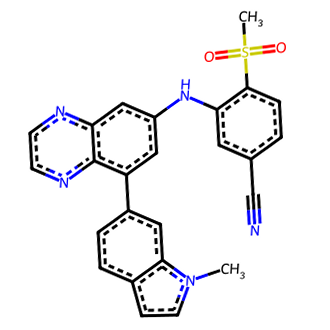 Cn1ccc2ccc(-c3cc(Nc4cc(C#N)ccc4S(C)(=O)=O)cc4nccnc34)cc21